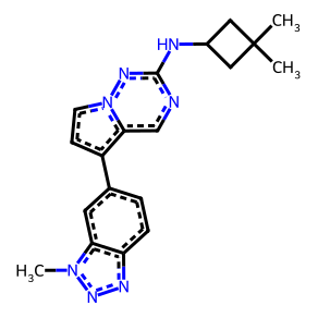 Cn1nnc2ccc(-c3ccn4nc(NC5CC(C)(C)C5)ncc34)cc21